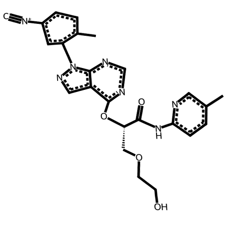 [C-]#[N+]c1ccc(C)c(-n2ncc3c(O[C@@H](COCCO)C(=O)Nc4ccc(C)cn4)ncnc32)c1